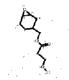 CCOCCC(=O)OCC1CCC2OC2C1